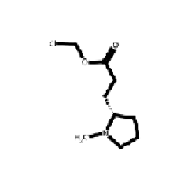 CN1CCC[C@H]1CCC(=O)OCCl